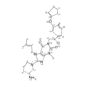 CC(C)=CCn1c(N2CCCC(N)C2)nc2c1c(=O)n(CC(=O)c1cccc(OC3CCCC3)c1)c(=O)n2C